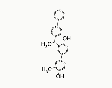 Cc1cc(-c2ccc(O)c(C(C)c3ccc(-c4ccccc4)cc3)c2)ccc1O